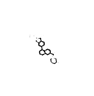 CN1Cc2cc(-c3cccc4cc(C(=O)N5CCC[C@H](F)C5)ccc34)ccc2C1=O